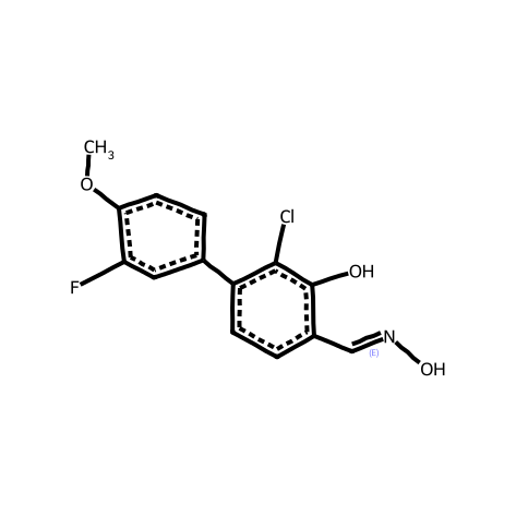 COc1ccc(-c2ccc(/C=N/O)c(O)c2Cl)cc1F